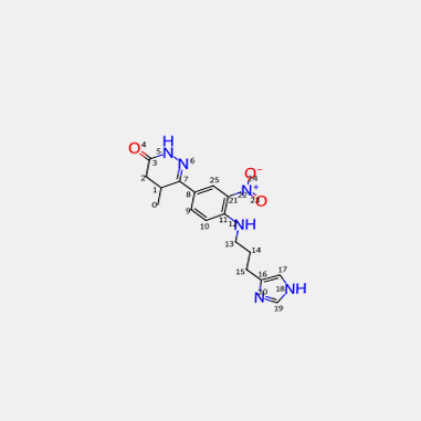 CC1CC(=O)NN=C1c1ccc(NCCCc2c[nH]cn2)c([N+](=O)[O-])c1